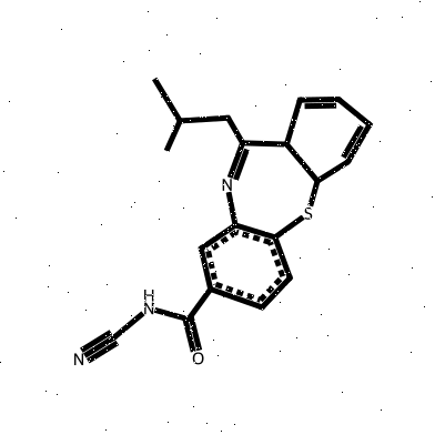 CC(C)CC1=Nc2cc(C(=O)NC#N)ccc2SC2C=CC=CC12